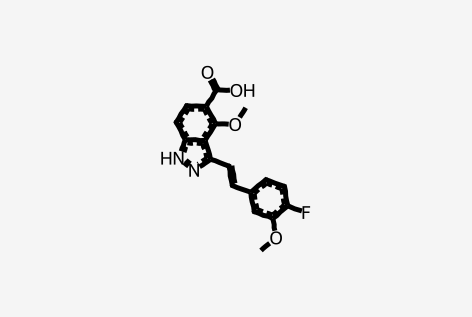 COc1cc(/C=C/c2n[nH]c3ccc(C(=O)O)c(OC)c23)ccc1F